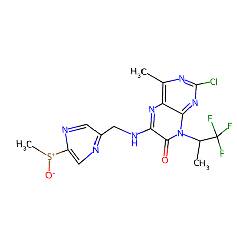 Cc1nc(Cl)nc2c1nc(NCc1cnc([S+](C)[O-])cn1)c(=O)n2C(C)C(F)(F)F